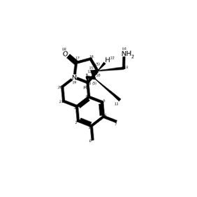 Cc1cc2c(cc1C)[C@@]13C[C@H](C)[C@@H](CN)[C@@H]1CC(=O)N3CC2